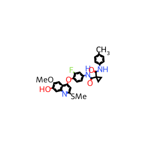 COc1cc2c(Oc3ccc(NC(=O)C4(C(=O)Nc5ccc(C)cc5)CC4)cc3F)cc(SC)nc2cc1O